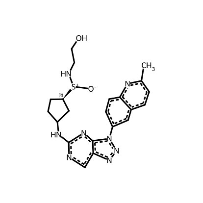 Cc1ccc2cc(-n3nnc4cnc(NC5CC[C@@H]([S+]([O-])NCCO)C5)nc43)ccc2n1